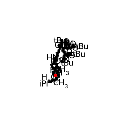 CC(C)CCC[C@@H](C)[C@H]1CC[C@H]2[C@@H]3CC=C4CC(OC(=O)NCCCC[C@@H](C(=O)OC(C)(C)C)N(CCN(CC(=O)OC(C)(C)C)CC(=O)OC(C)(C)C)CCN(CC(=O)OC(C)(C)C)CC(=O)OC(C)(C)C)CC[C@]4(C)[C@H]3CC[C@]12C